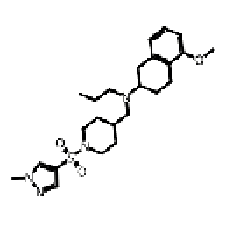 CCCN(CC1CCN(S(=O)(=O)c2cnn(C)c2)CC1)C1CCc2c(cccc2OC)C1